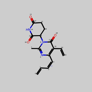 C=C/C=C\c1nc(C)n(C2CCC(=O)NC2=O)c(=O)c1C=C